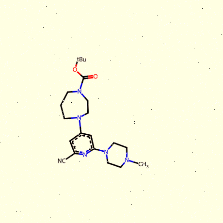 CN1CCN(c2cc(N3CCCN(C(=O)OC(C)(C)C)CC3)cc(C#N)n2)CC1